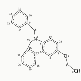 CCOc1ccc(N(Cc2ccccc2)Cc2ccccc2)cc1